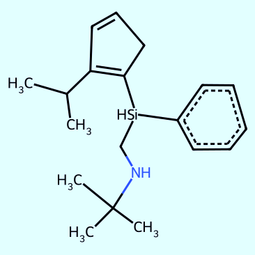 CC(C)C1=C([SiH](CNC(C)(C)C)c2ccccc2)CC=C1